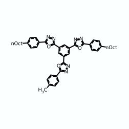 CCCCCCCCc1ccc(-c2nnc(-c3cc(-c4nnc(-c5ccc(C)cc5)o4)cc(-c4nnc(-c5ccc(CCCCCCCC)cc5)o4)c3)o2)cc1